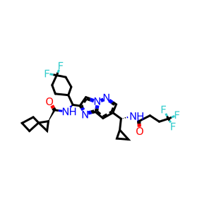 O=C(CCC(F)(F)F)N[C@@H](c1cnn2cc([C@@H](NC(=O)[C@H]3CC34CCC4)C3CCC(F)(F)CC3)nc2c1)C1CC1